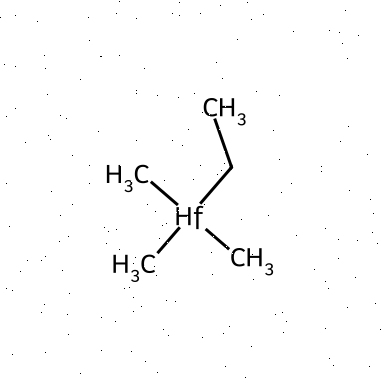 C[CH2][Hf]([CH3])([CH3])[CH3]